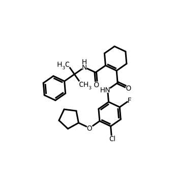 CC(C)(NC(=O)C1=C(C(=O)Nc2cc(OC3CCCC3)c(Cl)cc2F)CCCC1)c1ccccc1